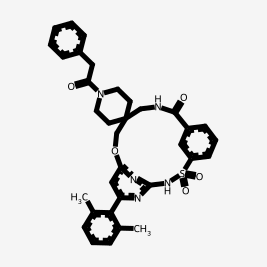 Cc1cccc(C)c1-c1cc2nc(n1)NS(=O)(=O)c1cccc(c1)C(=O)NCC1(CCN(C(=O)Cc3ccccc3)CC1)CO2